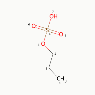 CCCOS(=O)(=O)O